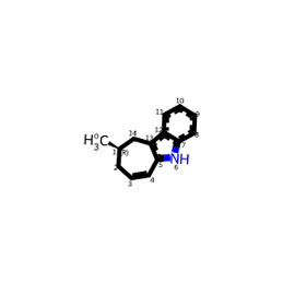 C[C@@H]1CC=Cc2[nH]c3ccccc3c2C1